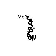 COC(=O)CC1COc2cc(O[C@@H]3CCc4c(Oc5ccc6c(c5)NC(=O)CC6)ccc(F)c43)ccc21